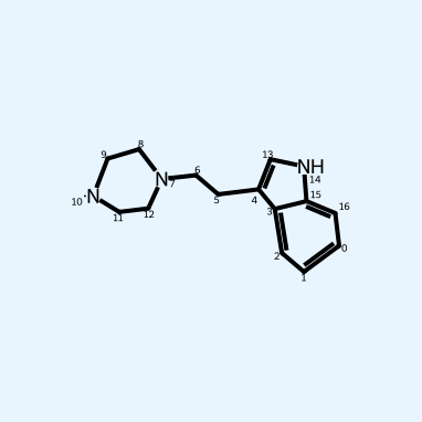 c1ccc2c(CCN3CC[N]CC3)c[nH]c2c1